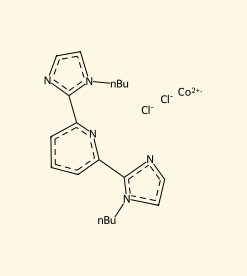 CCCCn1ccnc1-c1cccc(-c2nccn2CCCC)n1.[Cl-].[Cl-].[Co+2]